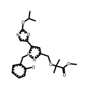 COC(=O)C(C)(C)OCc1cc(-c2cnc(OC(C)C)o2)n(Cc2ccccc2Cl)n1